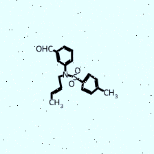 CC=CCN(c1cccc(C=O)c1)S(=O)(=O)c1ccc(C)cc1